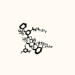 CCCO/N=C(\C)c1cc(C(=O)N[C@@H](Cc2cc(F)cc(F)c2)[C@H](O)CN(Cc2cccc(OC)c2)C(=O)OC(C)(C)C)cc(N(c2ccccc2)S(C)(=O)=O)c1